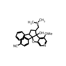 COc1cncc2c1C1(O)C(CN(C)C)CC(c3ccccc3)C1(c1ccc(C#N)cc1)O2